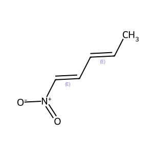 C/C=C/C=C/[N+](=O)[O-]